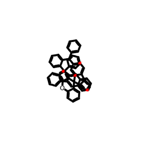 c1ccc(C(c2ccc3c(c2)C2(c4ccccc4Oc4ccccc42)c2ccccc2-3)c2ccccc2C2(c3ccccc3)c3ccccc3-c3cc4ccccc4cc32)cc1